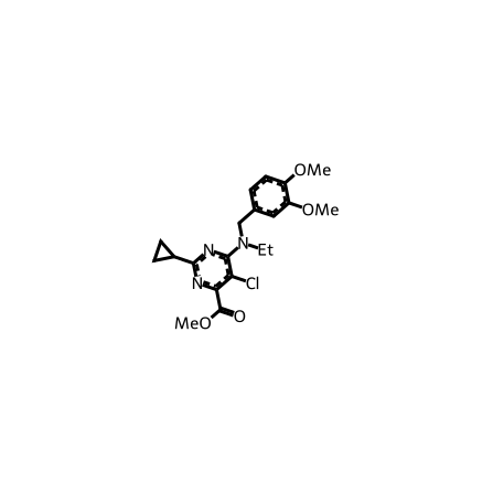 CCN(Cc1ccc(OC)c(OC)c1)c1nc(C2CC2)nc(C(=O)OC)c1Cl